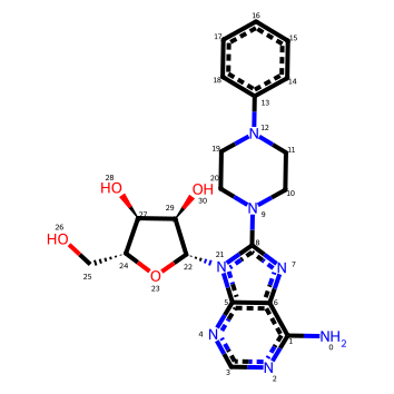 Nc1ncnc2c1nc(N1CCN(c3ccccc3)CC1)n2[C@@H]1O[C@H](CO)[C@@H](O)[C@H]1O